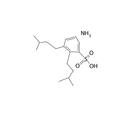 CC(C)CCc1cccc(S(=O)(=O)O)c1CCC(C)C.N